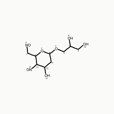 O=NCC1OC(OCC(O)CO)CC(O)C1N=O